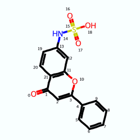 O=c1cc(-c2ccccc2)oc2cc(NS(=O)(=O)O)ccc12